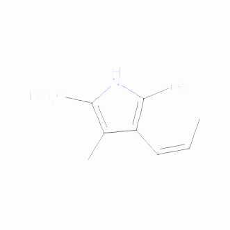 C/C=C\c1c(CCC)[nH]c(C(=O)OCC)c1C